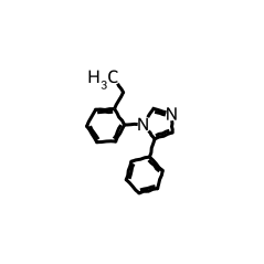 CCc1ccccc1-n1cncc1-c1ccccc1